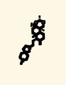 C=C1CCC2[C@]3(C)CO[C@@H](C)O[C@@H]3CC[C@@]2(C)[C@@H]1CCN1CCC2(CCN(C)CC2)C1